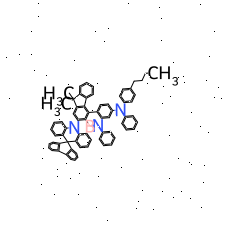 CCCCc1ccc(N(c2ccccc2)c2ccc3c(c2)N(c2ccccc2)B2c4cccc5c4N(c4ccccc4C54c5ccccc5-c5ccccc54)c4cc5c(c-3c42)-c2ccccc2C5(C)C)cc1